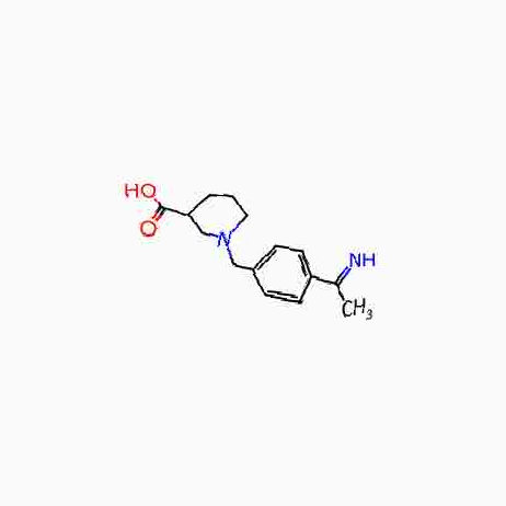 CC(=N)c1ccc(CN2CCCC(C(=O)O)C2)cc1